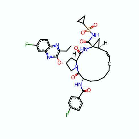 CCc1nc2ccc(F)cc2nc1O[C@@H]1C[C@H]2C(=O)N[C@]3(C(=O)NS(=O)(=O)C4CC4)C[C@H]3/C=C\CCCCC[C@H](NC(=O)c3ccc(F)cc3)C(=O)N2C1